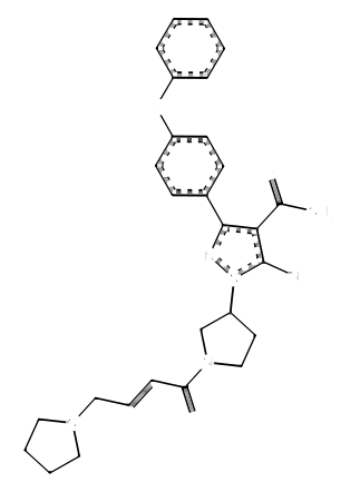 NC(=O)c1c(-c2ccc(Oc3ccccc3)cc2)nn(C2CCN(C(=O)C=CCN3CCCC3)C2)c1N